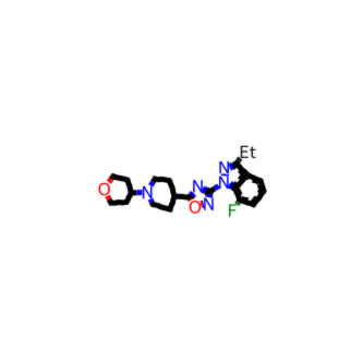 CCc1nn(-c2noc(C3CCN(C4CCOCC4)CC3)n2)c2c(F)cccc12